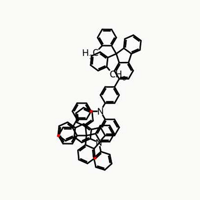 Cc1ccccc1C1(c2ccccc2C)c2ccccc2-c2ccc(-c3ccc(N(c4cccc(-c5ccccc5C5(c6ccccc6)c6ccccc6-c6ccccc65)c4)c4cccc5c4c4cc6ccccc6cc4n5-c4ccccc4)cc3)cc21